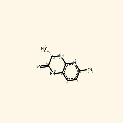 Cc1ccc2c(n1)N[C@@H](C)C(=O)N2